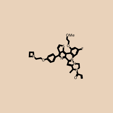 C=CC(=O)N1CCn2nc(-c3nc(-c4ccc(OCCN5CCC5)cc4)c4ccsc4c3-c3c(F)cc(F)cc3OCCOC)cc2C1C